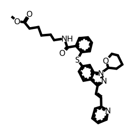 COC(=O)CCCCCNC(=O)c1ccccc1Sc1ccc2c(C=Cc3ccccn3)nn(C3CCCCO3)c2c1